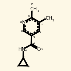 Cc1cc(C(=O)NC2CC2)cnc1C